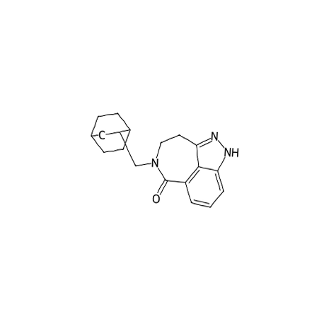 O=C1c2cccc3[nH]nc(c23)CCN1CC1CC2CCC1CC2